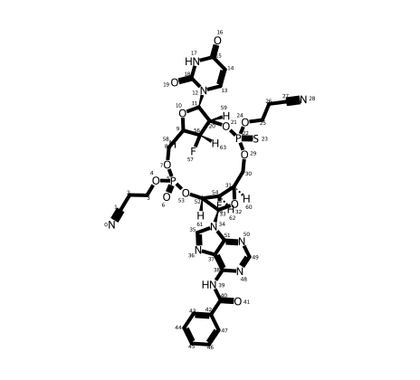 N#CCCOP1(=O)OC[C@H]2O[C@@H](n3ccc(=O)[nH]c3=O)[C@H](OP(=S)(OCCC#N)OC[C@H]3O[C@@H](n4cnc5c(NC(=O)c6ccccc6)ncnc54)[C@H](O1)[C@@H]3F)[C@@H]2F